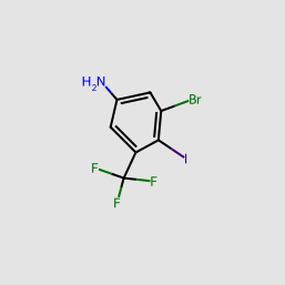 Nc1cc(Br)c(I)c(C(F)(F)F)c1